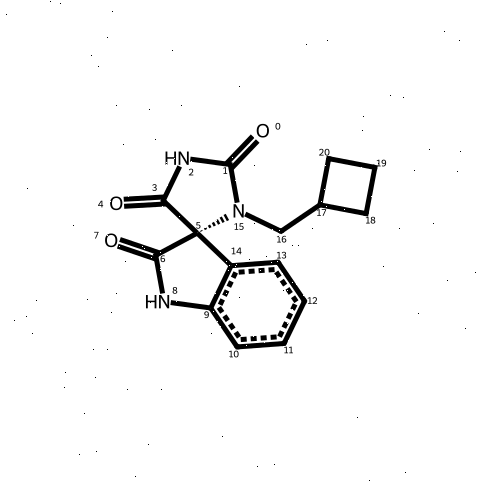 O=C1NC(=O)[C@@]2(C(=O)Nc3ccccc32)N1CC1CCC1